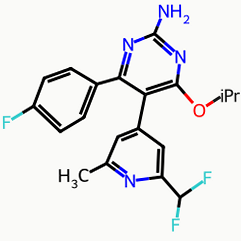 Cc1cc(-c2c(OC(C)C)nc(N)nc2-c2ccc(F)cc2)cc(C(F)F)n1